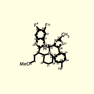 COCCC(c1nc2cc(F)c(F)cc2[nH]1)C1CCCCN1C(=O)c1nc(C)sc1-c1ccc(F)cc1